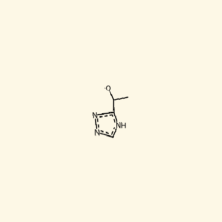 CC([O])c1nnc[nH]1